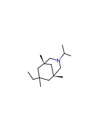 CCC1(C)C[C@]2(C)CN(C(C)C)C[C@](C)(C1)C2